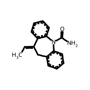 C/C=C1\Cc2ccccc2N(C(N)=O)c2ccccc21